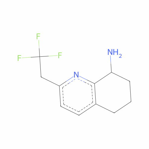 NC1CCCc2ccc(CC(F)(F)F)nc21